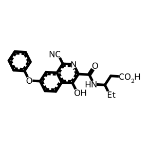 CCC(CC(=O)O)NC(=O)c1nc(C#N)c2cc(Oc3ccccc3)ccc2c1O